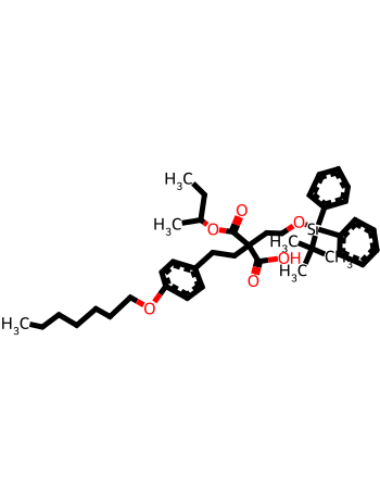 CCCCCCCOc1ccc(CCC(CCO[Si](c2ccccc2)(c2ccccc2)C(C)(C)C)(C(=O)O)C(=O)OC(C)CC)cc1